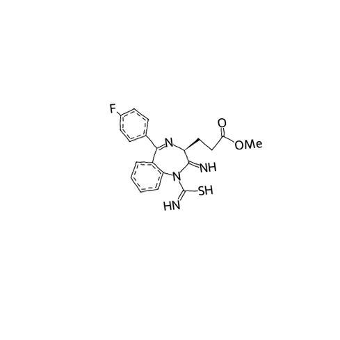 COC(=O)CC[C@@H]1N=C(c2ccc(F)cc2)c2ccccc2N(C(=N)S)C1=N